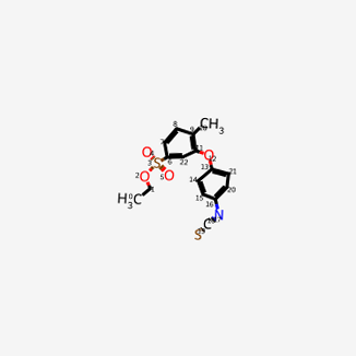 CCOS(=O)(=O)c1ccc(C)c(Oc2ccc(N=C=S)cc2)c1